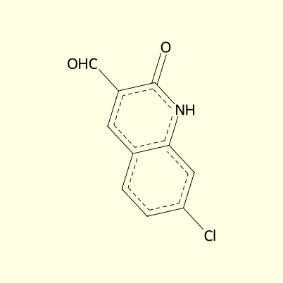 O=Cc1cc2ccc(Cl)cc2[nH]c1=O